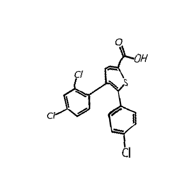 O=C(O)c1cc(-c2ccc(Cl)cc2Cl)c(-c2ccc(Cl)cc2)s1